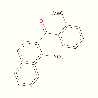 COc1ccccc1C(=O)c1ccc2ccccc2c1[N+](=O)[O-]